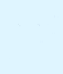 C/C(=N\[S+]([O-])C(C)(C)C)c1nccc2ccccc12